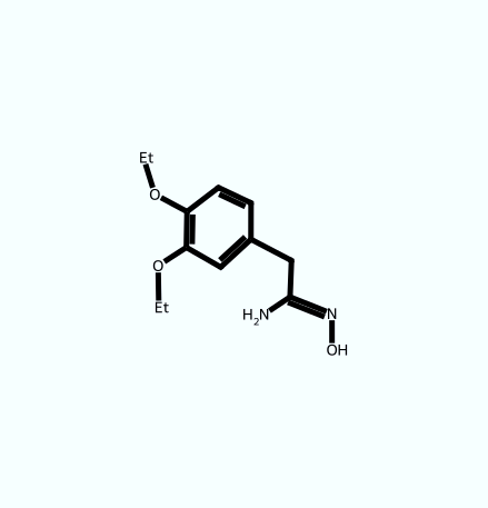 CCOc1ccc(C/C(N)=N/O)cc1OCC